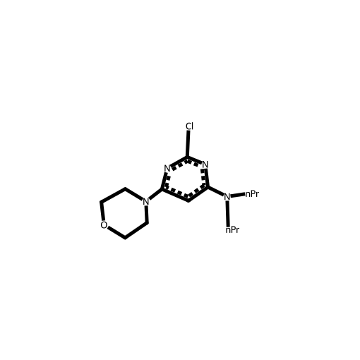 CCCN(CCC)c1cc(N2CCOCC2)nc(Cl)n1